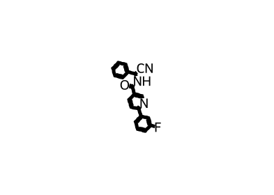 N#CC(NC(=O)c1ccc(-c2cccc(F)c2)nc1)c1ccccc1